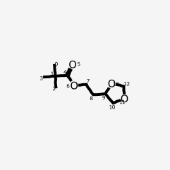 CC(C)(C)C(=O)OCCC1COCO1